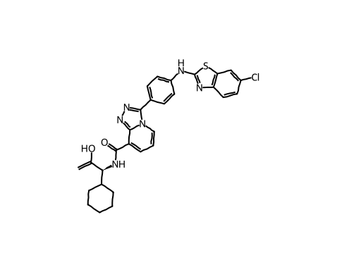 C=C(O)[C@@H](NC(=O)c1cccn2c(-c3ccc(Nc4nc5ccc(Cl)cc5s4)cc3)nnc12)C1CCCCC1